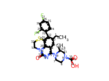 CCc1cc2c(N3CCN(C(=O)O)CC3C)nc(=O)n3c2c(c1-c1ccc(F)cc1F)SCC3